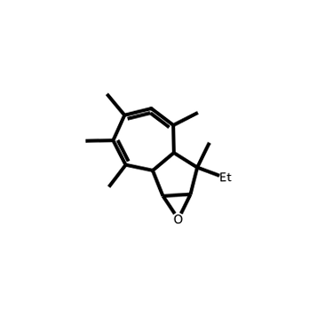 CCC1(C)C2OC2C2C(C)=C(C)C(C)=C=C(C)C21